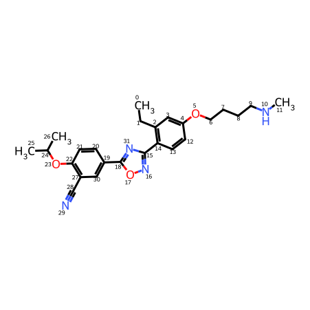 CCc1cc(OCCCCNC)ccc1-c1noc(-c2ccc(OC(C)C)c(C#N)c2)n1